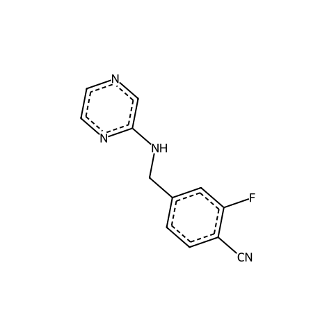 N#Cc1ccc(CNc2cnccn2)cc1F